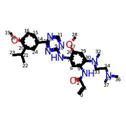 C=CC(=O)Nc1cc(Nc2ncnc(-c3ccc(OC)c(C(C)C)c3)n2)c(OC)cc1N(C)CCN(C)C